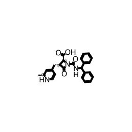 C[C@H]1C=C(C[C@H]2C(=O)N(C(=O)NC(c3ccccc3)c3ccccc3)[C@@H]2C(=O)O)C=CN1